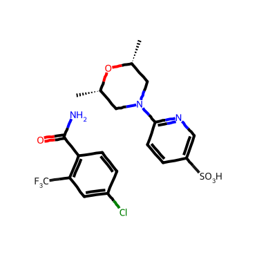 C[C@@H]1CN(c2ccc(S(=O)(=O)O)cn2)C[C@H](C)O1.NC(=O)c1ccc(Cl)cc1C(F)(F)F